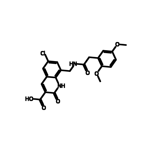 COc1ccc(OC)c(CC(=O)NCc2cc(Cl)cc3cc(C(=O)O)c(=O)[nH]c23)c1